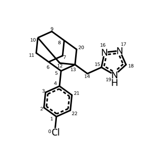 Clc1ccc(C2C3CC4CC(C3)CC2(Cc2nnc[nH]2)C4)cc1